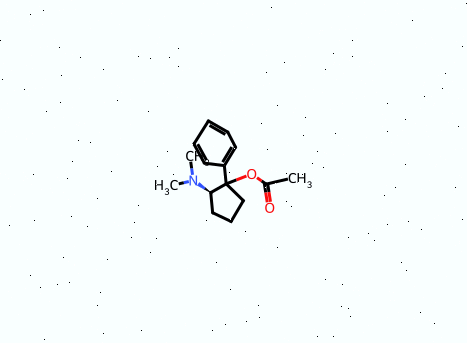 CC(=O)OC1(c2ccccc2)CCC[C@H]1N(C)C